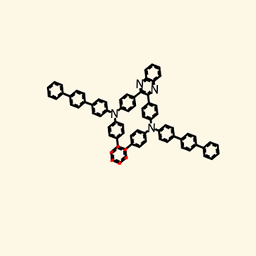 c1ccc(-c2ccc(-c3ccc(N(c4ccc(-c5ccccc5)cc4)c4ccc(-c5nc6ccccc6nc5-c5ccc(N(c6ccc(-c7ccccc7)cc6)c6ccc(-c7ccc(-c8ccccc8)cc7)cc6)cc5)cc4)cc3)cc2)cc1